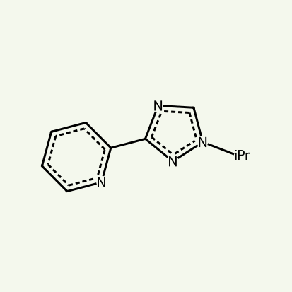 CC(C)n1cnc(-c2ccccn2)n1